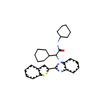 O=C(NC1CCCCC1)C(C1CCCCC1)n1c(-c2cc3ccccc3s2)nc2ccccc21